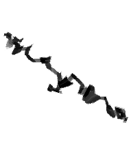 COCCOCCN([C]=O)CCOCCOC